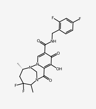 CC1N2CN([C@@H](C)CC1(F)F)n1cc(C(=O)NCc3ccc(F)cc3F)c(=O)c(O)c1C2=O